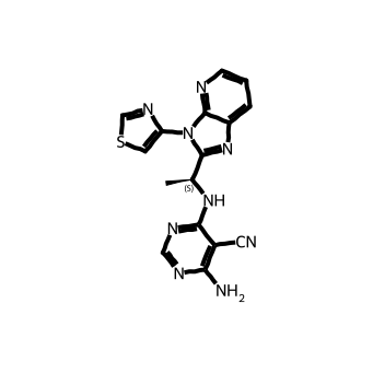 C[C@H](Nc1ncnc(N)c1C#N)c1nc2cccnc2n1-c1cscn1